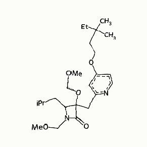 CCC(C)(C)CCOc1ccnc(CC2(OCOC)C(=O)N(COC)C2CC(C)C)c1